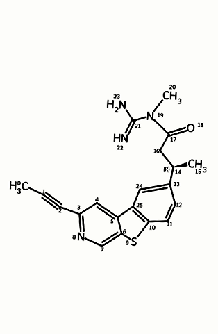 CC#Cc1cc2c(cn1)sc1ccc([C@H](C)CC(=O)N(C)C(=N)N)cc12